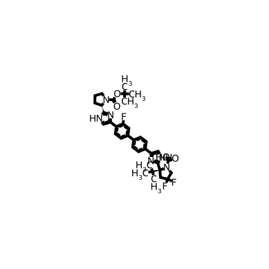 CC(C)(C)OC(=O)N1CCC[C@H]1c1nc(-c2ccc(-c3ccc(-c4c[nH]c([C@@]5(C(C)(C)C)CC(F)(F)CN5C(=O)O)n4)cc3)cc2F)c[nH]1